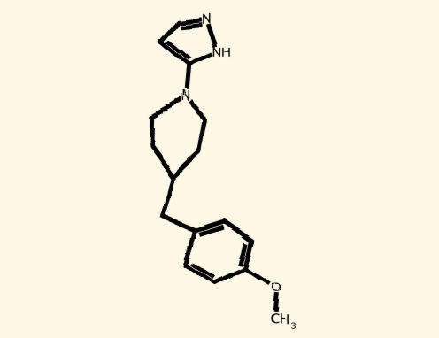 COc1ccc(CC2CCN(c3ccn[nH]3)CC2)cc1